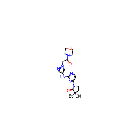 CC[C@]1(C#N)CCN(c2ccnc(Nc3cnn(CC(=O)N4CCOCC4)c3)n2)C1=O